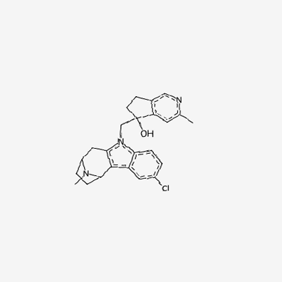 Cc1cc2c(cn1)CCC2(O)Cn1c2c(c3cc(Cl)ccc31)C1CCC(C2)N1C